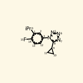 CC(C)c1cc(-n2nnnc2C2CC2)ccc1F